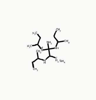 CCC(C)NC(C)C(N)(NC(C)CC)NC(C)CC.[SiH4]